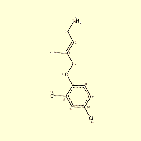 NC/C=C(\F)COc1ccc(Cl)cc1Cl